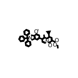 CCOC(=O)c1cc(C2CC2)c2c(C)c(-c3cc4c(c(OC)c3)CN(C(c3ccccc3)(c3ccccc3)c3ccccc3)C4)ccn2c1=O